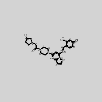 O=C(CN1CC[C@@H](F)C1)N1CCN(c2cc(NCc3ccc(Cl)cc3Cl)n3nccc3n2)CC1